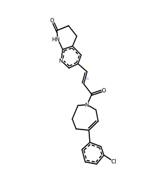 O=C1CCc2cc(/C=C/C(=O)N3CC=C(c4cccc(Cl)c4)CCC3)cnc2N1